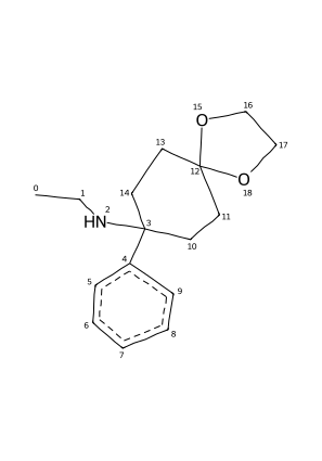 CCNC1(c2ccccc2)CCC2(CC1)OCCO2